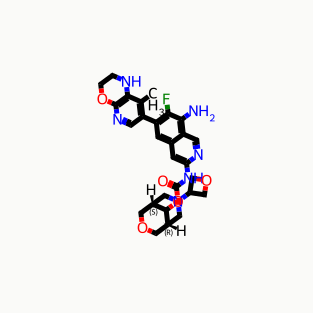 Cc1c(-c2cc3cc(NC(=O)OC4[C@@H]5COC[C@H]4CN(C4COC4)C5)ncc3c(N)c2F)cnc2c1NCCO2